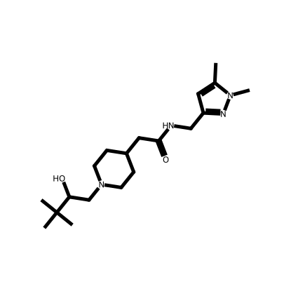 Cc1cc(CNC(=O)CC2CCN(CC(O)C(C)(C)C)CC2)nn1C